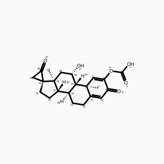 C[C@]12C=C(OC(=O)O)C(=O)C=C1CC[C@@H]1[C@@H]2[C@@H](O)C[C@@]2(C)[C@H]1CC[C@]21CC1=O